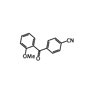 COc1ccccc1C(=O)c1ccc(C#N)cc1